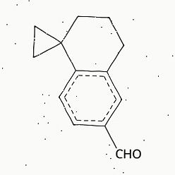 O=Cc1ccc2c(c1)CCCC21CC1